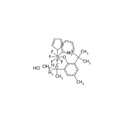 Cc1cc(C(C)(C)C)c([O][Ti]([F])([F])([F])([F])([F])([c]2ccccc2)[CH]2C=CC=C2)c(C(C)(C)C)c1.Cl.Cl